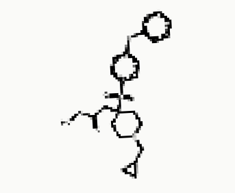 O=C(CC1(S(=O)(=O)c2ccc(Oc3ccccc3)cc2)CCN(CC2CC2)CC1)NO